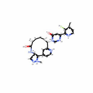 Cc1ccnc(-c2cc(=O)n([C@H]3CCC[C@@H](C)C(=O)Nc4cnn(C)c4-c4ccnc3c4)cn2)c1F